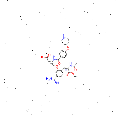 CCOC(=O)/C(=C\c1ccc(C(=N)N)cc1OC[C@@H](CC(=O)O)NC(=O)c1ccc(OC2CCNCC2)cc1)NC(C)=O